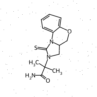 CC(C)(C(N)=O)N1CC2COc3ccccc3N2C1=S